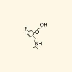 C=C(C)NCCc1ccc(F)cc1OCCO